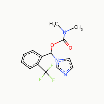 CN(C)C(=O)OC(c1ccccc1C(F)(F)F)n1ccnc1